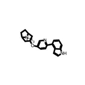 CN1C2CCC1CC(Oc1ccc(-c3cccc4[nH]ccc34)nc1)C2